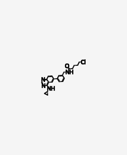 O=C(CCCCCl)NCc1cccc(-c2ccc3ncnc(NC4CC4)c3c2)c1